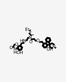 CCSC[C@@H](C)N(CCNCCc1ccc(O)c2c1OCC(=O)N2)C(=O)CCOCCc1ccc(O)c(C2(c3ccccc3)CCN(C)CC2)c1